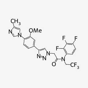 COc1cc(-c2cn(CC(=O)N(CC(F)(F)F)c3ccc(F)c(F)c3F)nn2)ccc1-n1cnc(C)c1